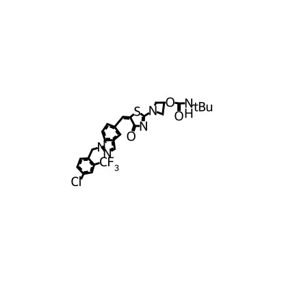 CC(C)(C)NC(=O)OC1CN(C2=NC(=O)C(=Cc3ccc4c(cnn4Cc4ccc(Cl)cc4C(F)(F)F)c3)S2)C1